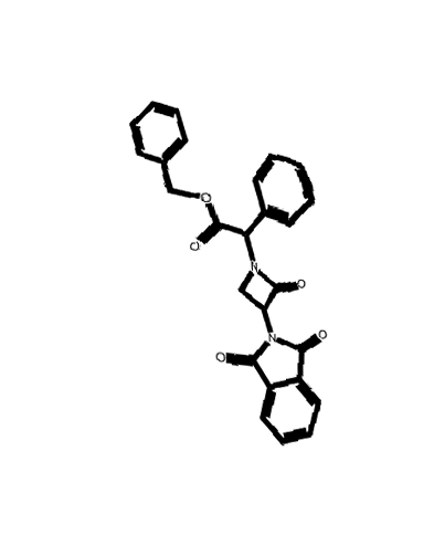 O=C(OCc1ccccc1)C(c1ccccc1)N1CC(N2C(=O)c3ccccc3C2=O)C1=O